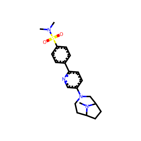 CN1C2CCC1CN(c1ccc(-c3ccc(S(=O)(=O)N(C)C)cc3)nc1)CC2